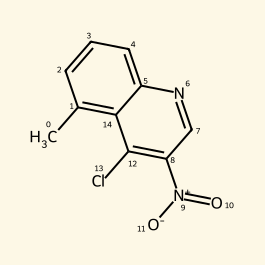 Cc1cccc2ncc([N+](=O)[O-])c(Cl)c12